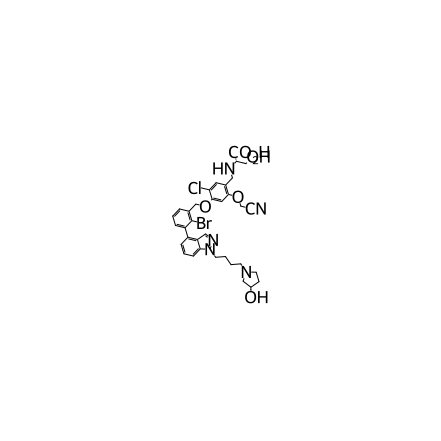 N#CCOc1cc(OCc2cccc(-c3cccc4c3cnn4CCCCN3CC[C@@H](O)C3)c2Br)c(Cl)cc1CN[C@@H](CO)C(=O)O